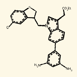 CCOC(=O)Cc1cn(CC2CSc3ccc(Cl)cc32)c2cc(-c3cc(N)cc(N)c3)ccc12